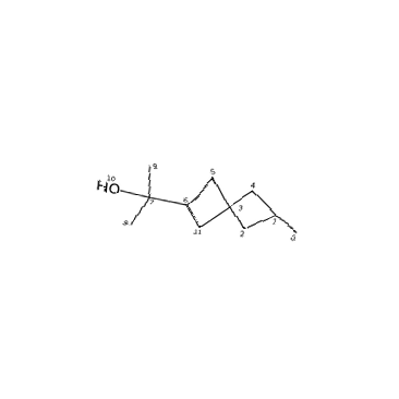 CC1CC2(C1)CC(C(C)(C)O)C2